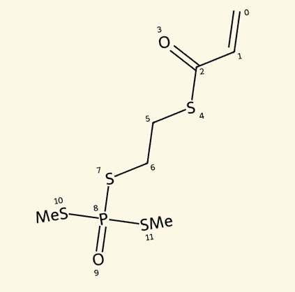 C=CC(=O)SCCSP(=O)(SC)SC